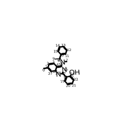 Cc1ccc2c(N(C)[C@@H](C)c3ccccc3)nc(-c3ccccc3O)nc2c1